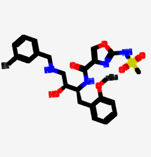 CCCCOc1ccccc1C[C@H](NC(=O)c1coc(NS(C)(=O)=O)n1)[C@@H](O)CNCc1cccc(CC)c1